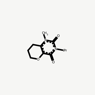 CC(C)n1c(=O)c2c(n(C)c1=O)CCCO2